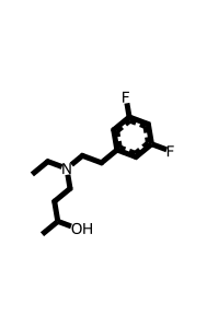 CCN(CCc1cc(F)cc(F)c1)CCC(C)O